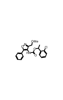 COCc1noc(-c2ccccc2)c1NC(=O)OC(C)c1ccccc1Cl